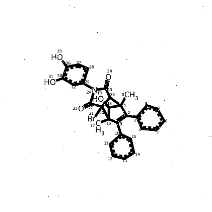 CC12C(c3ccccc3)=C(c3ccccc3)C(C)(C1O)C1(Br)C(=O)N(c3ccc(O)c(O)c3)C(=O)C21